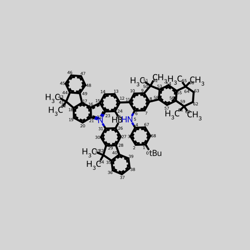 CC(C)(C)c1ccc(Nc2cc3c(cc2-c2ccc4c5c6c(ccc5n5c4c2Bc2cc4c(cc2-5)C(C)(C)c2ccccc2-4)C(C)(C)c2ccccc2-6)C(C)(C)c2cc4c(cc2-3)C(C)(C)CCC4(C)C)cc1